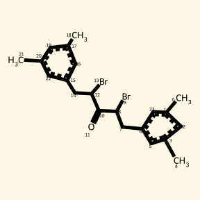 Cc1cc(C)cc(CC(Br)C(=O)C(Br)Cc2cc(C)cc(C)c2)c1